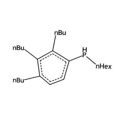 CCCCCCPc1ccc(CCCC)c(CCCC)c1CCCC